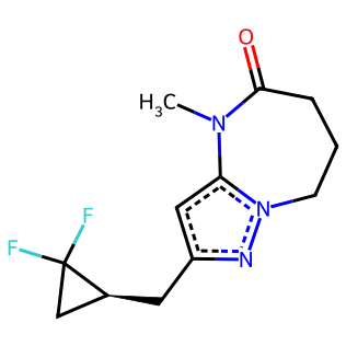 CN1C(=O)CCCn2nc(C[C@H]3CC3(F)F)cc21